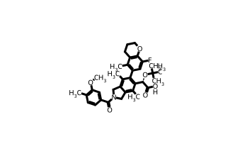 COc1cc(C(=O)N2Cc3c(C)c(-c4cc(F)c5c(c4C)CCCO5)c([C@H](OC(C)(C)C)C(=O)O)c(C)c3C2)ccc1C